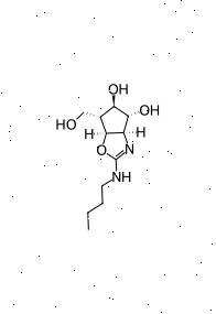 CCCCNC1=N[C@@H]2[C@@H](O)[C@H](O)[C@@H](CO)[C@@H]2O1